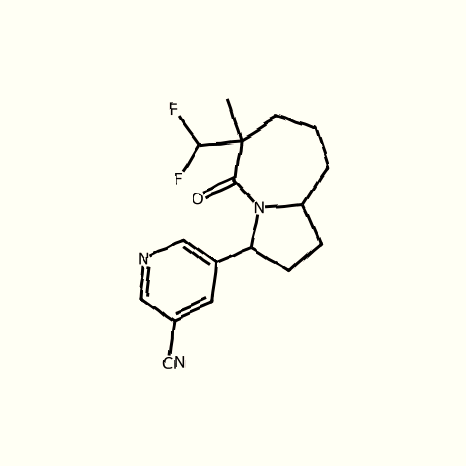 CC1(C(F)F)CCCC2CCC(c3cncc(C#N)c3)N2C1=O